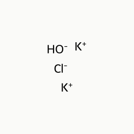 [Cl-].[K+].[K+].[OH-]